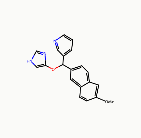 COc1ccc2cc(C(Oc3c[nH]cn3)c3cccnc3)ccc2c1